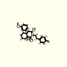 COc1cccc([C@]23CCCC[C@@H]2C(=O)N(CCc2ccc(C)cc2)C(=O)C3)c1